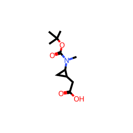 CN(C(=O)OC(C)(C)C)C1CC1CC(=O)O